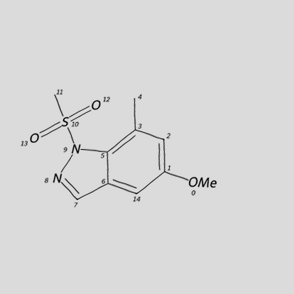 COc1cc(C)c2c(cnn2S(C)(=O)=O)c1